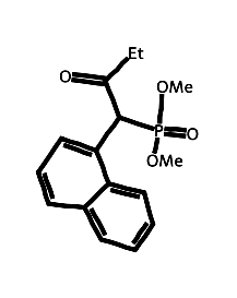 CCC(=O)C(c1cccc2ccccc12)P(=O)(OC)OC